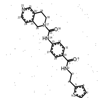 O=C(NCCc1cccs1)c1ccc(NC(=O)N2CCc3cnccc3C2)cc1